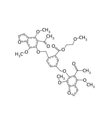 COCCOC(=O)c1cc(COc2c(C(C)=O)c(OC)c3ccoc3c2OC)ccc1COc1c(C(C)=O)c(OC)c2ccoc2c1OC